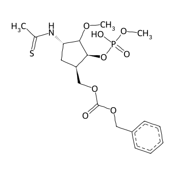 COC1[C@@H](NC(C)=S)C[C@H](COC(=O)OCc2ccccc2)[C@@H]1OP(=O)(O)OC